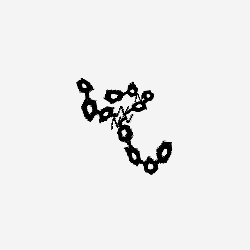 c1ccc(-c2cccc(-c3ccc(-c4nc(-c5ccc(-c6cccc(-c7cccc(-c8ccccc8)c7)c6)cc5)nc(-c5ccc6c7ccccc7n(-c7cccc(-c8ccccc8)c7)c6c5)n4)cc3)c2)cc1